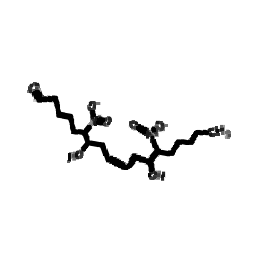 CCCCCC(C(O)C/C=C\CC(O)C(CCCC[C]=O)[N+](=O)[O-])[N+](=O)[O-]